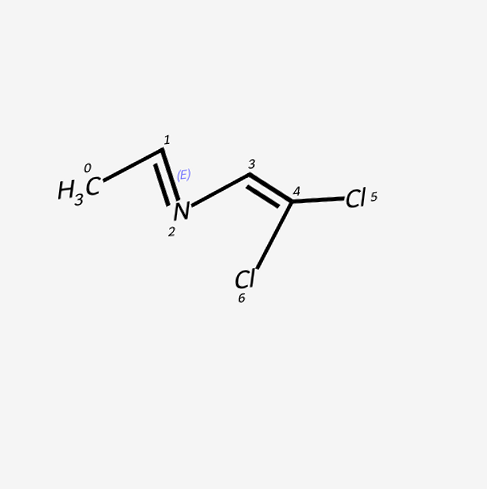 C/C=N/C=C(Cl)Cl